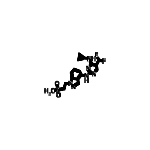 CS(=O)(=O)CCn1ncc2c(Nc3ncc(C(F)F)c(NC4CC4)n3)cccc21